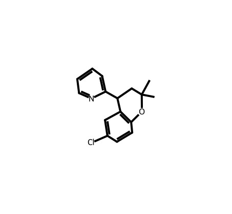 CC1(C)CC(c2ccccn2)c2cc(Cl)ccc2O1